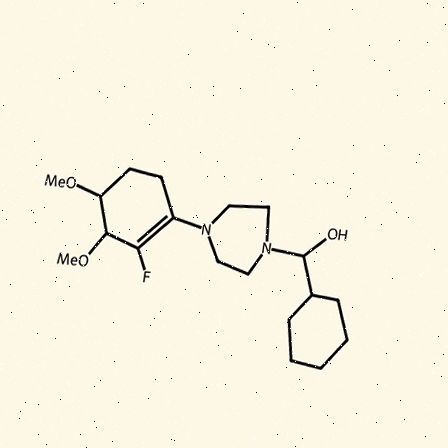 COC1CCC(N2CCN(C(O)C3CCCCC3)CC2)=C(F)C1OC